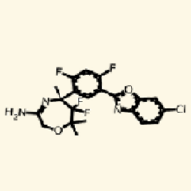 CC1(C)OCC(N)=N[C@](C)(c2cc(-c3nc4ccc(Cl)cc4o3)c(F)cc2F)C1(F)F